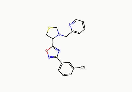 N#Cc1cccc(-c2noc(C3CSCN3Cc3ccccn3)n2)c1